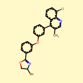 Cc1cnc2c(Cl)cccc2c1-c1cccc(Oc2cccc(C3=NC(C(C)C)CO3)c2)c1